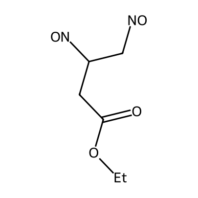 CCOC(=O)CC(CN=O)N=O